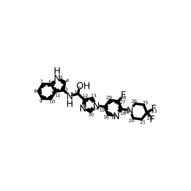 OC(Nc1c[nH]c2ccccc12)c1cn(-c2cnc(N3CCC(F)(F)CC3)c(F)c2)cn1